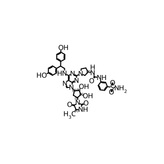 C[C@@H]1NC(=O)N([C@H]2C[C@@H](n3cnc4c(NCC(c5ccc(O)cc5)c5ccc(O)cc5)nc(N5CC[C@@H](NC(=O)Nc6cccc(S(N)(=O)=O)c6)C5)nc43)[C@H](O)[C@@H]2O)C1=O